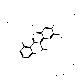 CC(C)c1c(-c2c(F)cccc2Cl)nnc2cc(Br)c(F)cc12